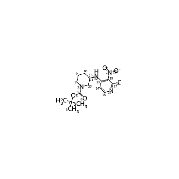 CC(C)(C)OC(=O)N1CCC[C@@H](Nc2ccnc(Cl)c2[N+](=O)[O-])C1